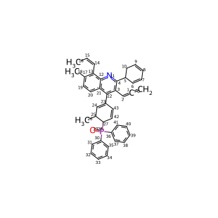 C=C=Cc1c(C2C=CC=CC2)nc2c(/C=C\C)c(C)ccc2c1C1=CC(C)C(P(=O)(c2ccccc2)c2ccccc2)C=C1